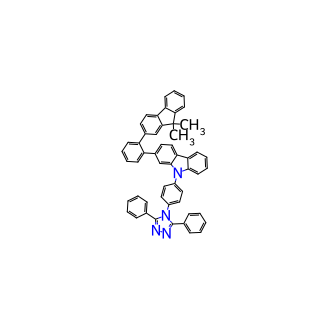 CC1(C)c2ccccc2-c2ccc(-c3ccccc3-c3ccc4c5ccccc5n(-c5ccc(-n6c(-c7ccccc7)nnc6-c6ccccc6)cc5)c4c3)cc21